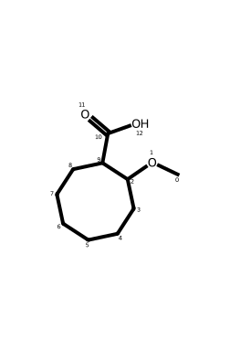 COC1CCCCCCC1C(=O)O